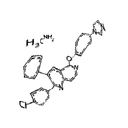 CN.Clc1ccc(-c2nc3ccnc(Oc4ccc(-n5ccnc5)cc4)c3cc2-c2ccccc2)cc1